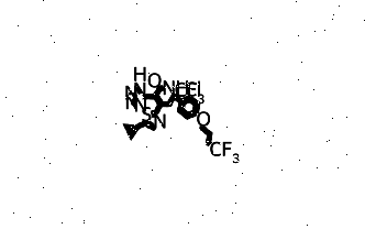 O=C1N[C@@](c2ccc(OCCCC(F)(F)F)cc2Cl)(C(F)(F)F)CC(c2ncc(C3CC3)s2)=C1c1nnn[nH]1